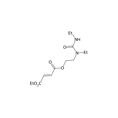 CCNC(=O)N(CC)CCOC(=O)/C=C/C(=O)OCC